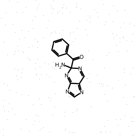 NC1(C(=O)c2ccccc2)N=CC2=NC=NC2=N1